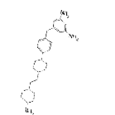 BC1CCC(CCC2CCC(c3ccc(Cc4cc(N)cc(N)c4)cc3)CC2)CC1